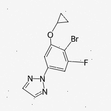 Fc1cc(-n2nccn2)cc(OC2CC2)c1Br